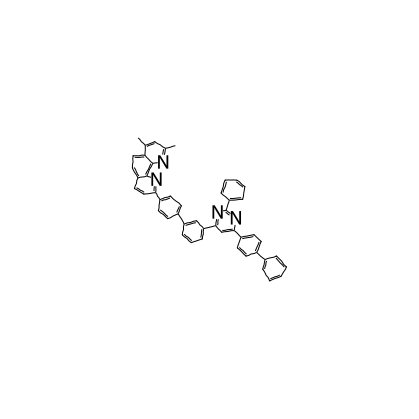 Cc1cc(C)c2ccc3ccc(-c4ccc(-c5cccc(-c6cc(-c7ccc(-c8ccccc8)cc7)nc(-c7ccccc7)n6)c5)cc4)nc3c2n1